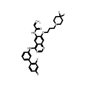 C=CC(=O)Nc1cc2c(Nc3cccc(-c4ccc(F)cc4F)c3)ncnc2cc1OCCCN1CCC(F)(F)CC1